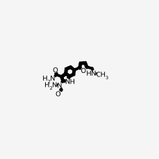 CNCc1ccc(-c2ccc3c(C(N)=O)c(N(N)C=O)[nH]c3c2)o1